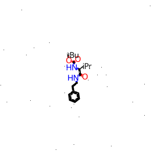 CC(C)[C@H](NC(=O)OC(C)(C)C)C(=O)NCCc1ccccc1